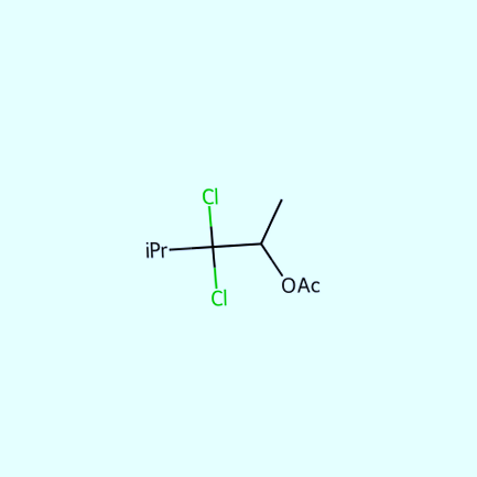 CC(=O)OC(C)C(Cl)(Cl)C(C)C